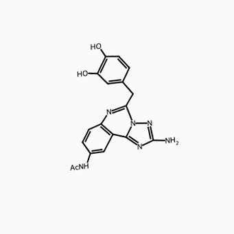 CC(=O)Nc1ccc2nc(Cc3ccc(O)c(O)c3)n3nc(N)nc3c2c1